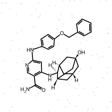 NC(=O)c1cnc(Nc2ccc(OCc3ccccc3)cc2)cc1N[C@H]1[C@@H]2C[C@H]3C[C@H]1C[C@@](O)(C3)C2